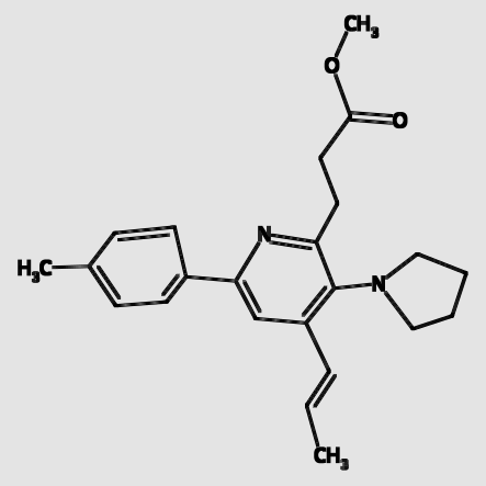 CC=Cc1cc(-c2ccc(C)cc2)nc(CCC(=O)OC)c1N1CCCC1